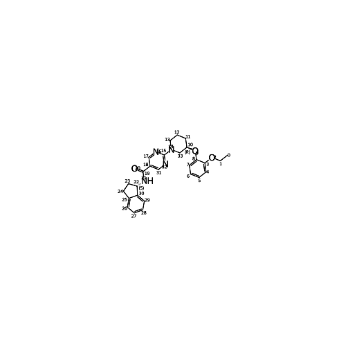 CCOc1ccccc1O[C@@H]1CCCN(c2ncc(C(=O)N[C@H]3CCc4ccccc43)cn2)C1